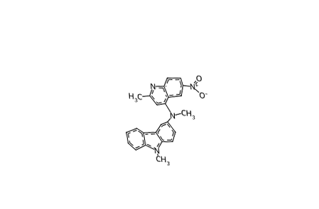 Cc1cc(N(C)c2ccc3c(c2)c2ccccc2n3C)c2cc([N+](=O)[O-])ccc2n1